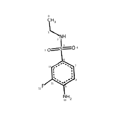 CCNS(=O)(=O)c1ccc(N)c(F)c1